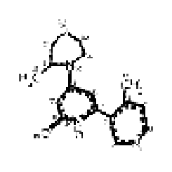 Cc1ccncc1-c1cc(N2CCOCC2C)cc(=O)[nH]1